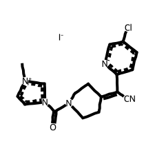 C[n+]1ccn(C(=O)N2CCC(=C(C#N)c3ccc(Cl)cn3)CC2)c1.[I-]